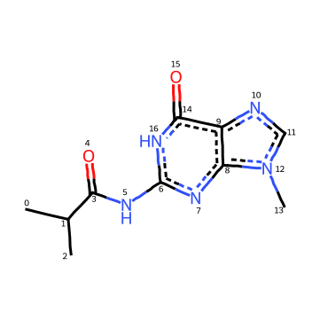 CC(C)C(=O)Nc1nc2c(ncn2C)c(=O)[nH]1